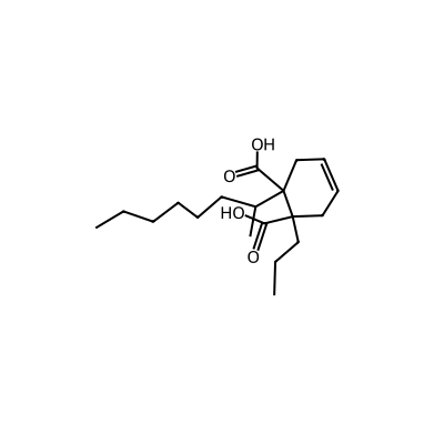 CCCCCCC(C)C1(C(=O)O)CC=CCC1(CCC)C(=O)O